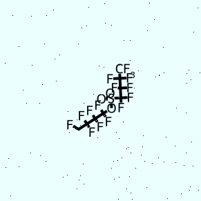 O=S(=O)(OC(F)(F)C(F)(F)C(F)(F)CF)C(F)(F)C(F)(F)C(F)(F)C(F)(F)F